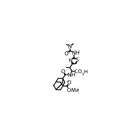 COC(=O)C12CC3CC(CC(C(=O)NC(C(=O)O)C(C)c4csc(NC(=O)N(C)C)n4)(C3)C1)C2